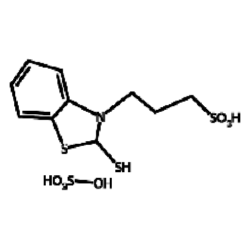 O=S(=O)(O)CCCN1c2ccccc2SC1S.O=S(=O)(O)O